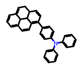 C1=CC2=CCC3C=CC(c4ccc(N(c5ccccc5)c5ccccc5)cc4)=C4C=CC(=C1)C2C43